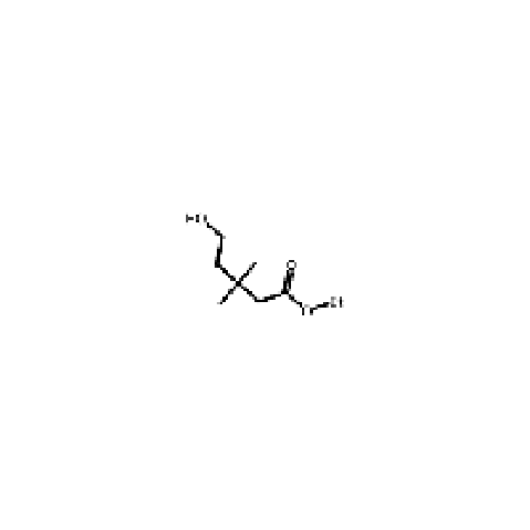 CCOC(=O)CC(C)(C)CCO